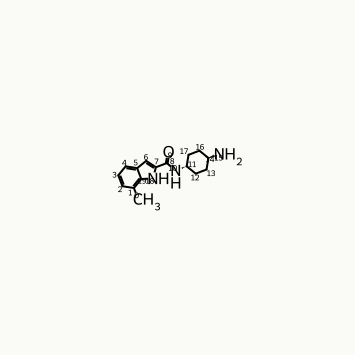 Cc1cccc2cc(C(=O)N[C@H]3CC[C@H](N)CC3)[nH]c12